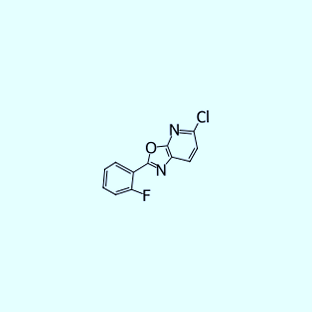 Fc1ccccc1-c1nc2ccc(Cl)nc2o1